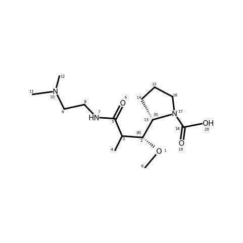 CO[C@H](C(C)C(=O)NCCN(C)C)[C@@H]1CCCN1C(=O)O